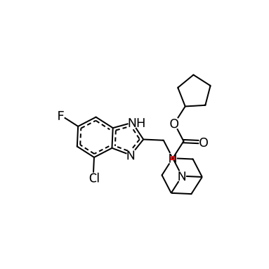 O=C(CN1C2CC1CN(Cc1nc3c(Cl)cc(F)cc3[nH]1)C2)OC1CCCC1